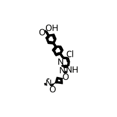 CN(C)C(=O)[C@H]1C[C@@H](Oc2nc3nc(-c4ccc(-c5ccc(C(=O)O)cc5)cc4)c(Cl)cc3[nH]2)C1